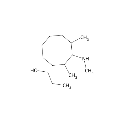 CCCO.CNC1C(C)CCCCCC1C